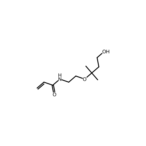 C=CC(=O)NCCOC(C)(C)CCO